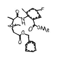 COC(=O)c1cc(F)cc(C)c1NC(=O)C(C)[N+](C)(C)CC(=O)OCc1ccccc1